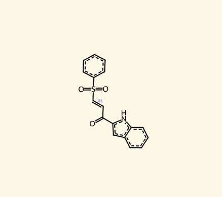 O=C(/C=C/S(=O)(=O)c1ccccc1)c1cc2ccccc2[nH]1